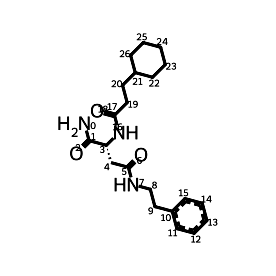 NC(=O)[C@@H](CC(=O)NCCc1ccccc1)NC(=O)CCC1CCCCC1